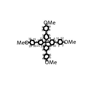 COc1ccc(-c2ccc(C(c3ccc(-c4ccc(OC)cc4)cc3)(c3ccc(-c4ccc(OC)cc4)cc3)c3ccc(-c4ccc(OC)cc4)cc3)cc2)cc1